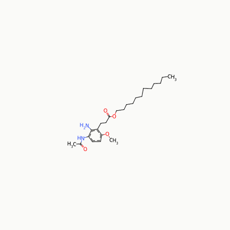 CCCCCCCCCCCCOC(=O)CCc1c(OC)ccc(NC(C)=O)c1N